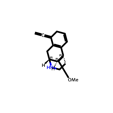 C=C=C1CC=CC2=C1C[C@H]1NCC[C@@]23CCC(OC)C[C@@H]13